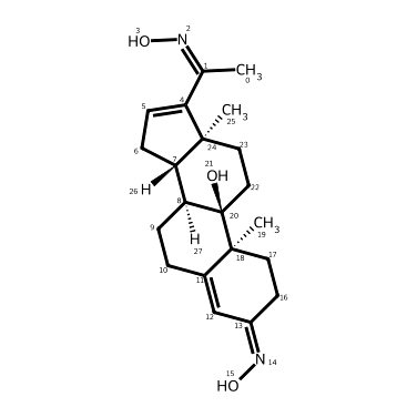 C/C(=N/O)C1=CC[C@H]2[C@@H]3CCC4=C/C(=N\O)CC[C@]4(C)[C@@]3(O)CC[C@]12C